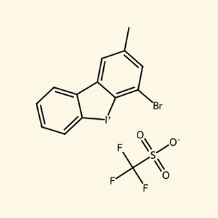 Cc1cc(Br)c2c(c1)-c1ccccc1[I+]2.O=S(=O)([O-])C(F)(F)F